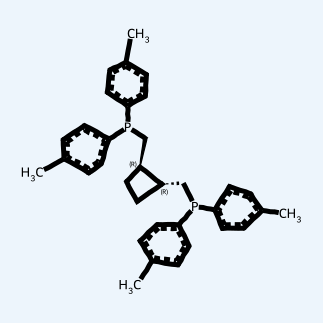 Cc1ccc(P(C[C@@H]2CC[C@H]2CP(c2ccc(C)cc2)c2ccc(C)cc2)c2ccc(C)cc2)cc1